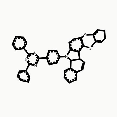 C1=CC2c3c(ccc4c3SC3=CCCC=C3S4)N(c3ccc(-c4nc(-c5ccccc5)nc(-c5ccccc5)n4)cc3)C2c2ccccc21